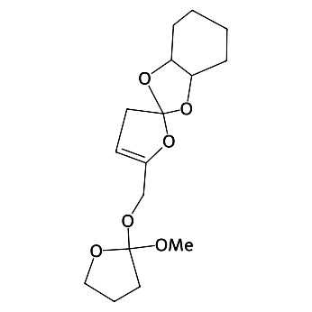 COC1(OCC2=CCC3(O2)OC2CCCCC2O3)CCCO1